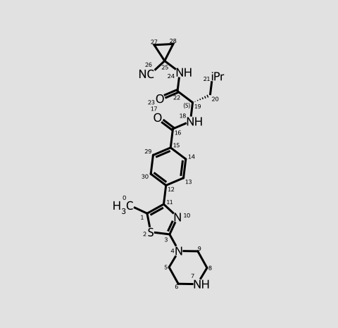 Cc1sc(N2CCNCC2)nc1-c1ccc(C(=O)N[C@@H](CC(C)C)C(=O)NC2(C#N)CC2)cc1